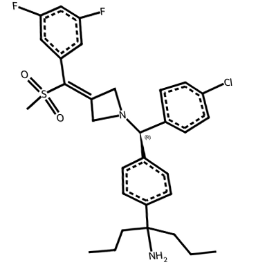 CCCC(N)(CCC)c1ccc([C@H](c2ccc(Cl)cc2)N2CC(=C(c3cc(F)cc(F)c3)S(C)(=O)=O)C2)cc1